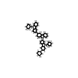 c1ccc(-c2ccc3c(c2)c2ccc(-n4c5ccccc5c5cc(-c6ccc7c(c6)c6ccccc6n7-c6ccccc6)ccc54)cc2n3-c2ccccc2)cc1